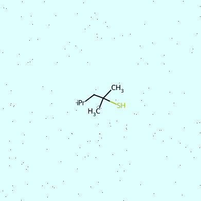 C[C](C)CC(C)(C)S